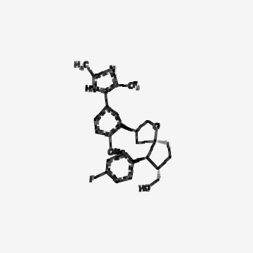 COc1ccc(-c2[nH]c(C)nc2C(F)(F)F)cc1[C@H]1CO[C@]2(CC[C@H](CO)[C@H]2c2ccc(F)cc2)C1